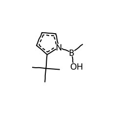 CB(O)n1cccc1C(C)(C)C